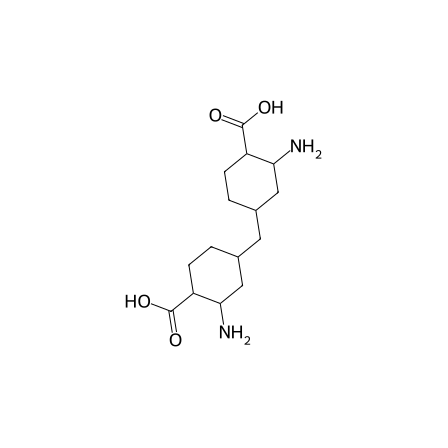 NC1CC(CC2CCC(C(=O)O)C(N)C2)CCC1C(=O)O